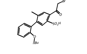 CCCCOc1ccccc1-c1cc(S(=O)(=O)O)c(C(=O)CBr)cc1C